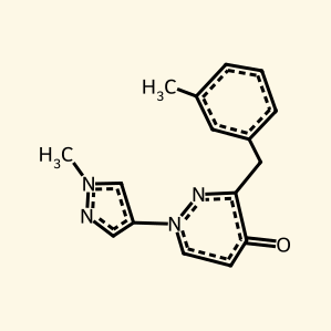 Cc1cccc(Cc2nn(-c3cnn(C)c3)ccc2=O)c1